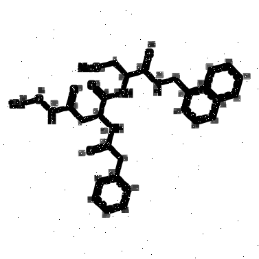 COC[C@H](NC(=O)[C@H](CC(=O)NOC(C)(C)C)NC(=O)Cc1ccccc1)C(=O)NCc1cccc2ccccc12